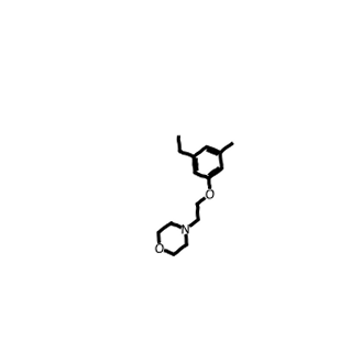 CCc1cc(C)cc(OCCN2CCOCC2)c1